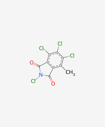 Cc1c(Cl)c(Cl)c(Cl)c2c1C(=O)N(Cl)C2=O